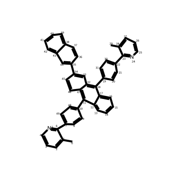 Cc1cccnc1-c1ccc(-c2c3ccccc3c(-c3ccc(-c4ncccc4C)cc3)c3cc(-c4ccc5ccccc5c4)ccc23)cc1